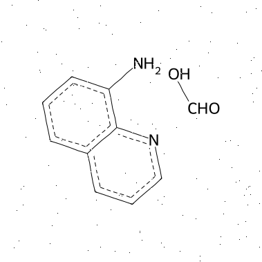 Nc1cccc2cccnc12.O=CO